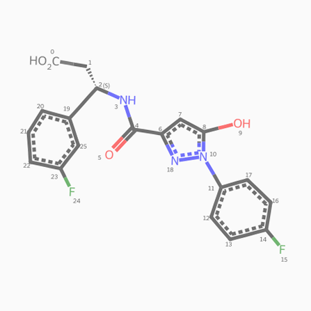 O=C(O)C[C@H](NC(=O)c1cc(O)n(-c2ccc(F)cc2)n1)c1cccc(F)c1